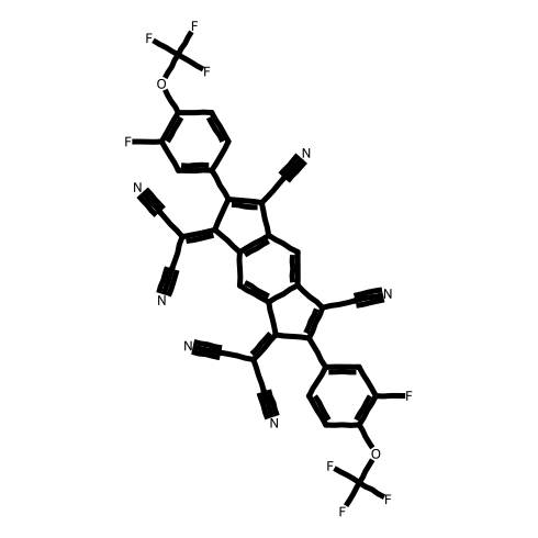 N#CC(C#N)=C1C(c2ccc(OC(F)(F)F)c(F)c2)=C(C#N)c2cc3c(cc21)C(=C(C#N)C#N)C(c1ccc(OC(F)(F)F)c(F)c1)=C3C#N